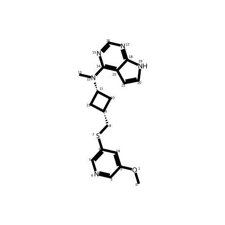 COc1cncc(SC[C@H]2C[C@@H](N(C)c3ncnc4[nH]ccc34)C2)c1